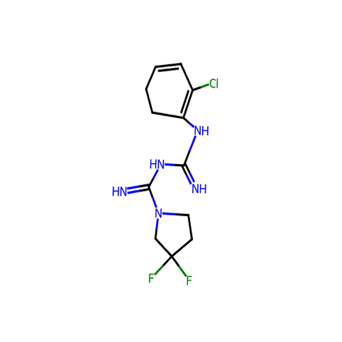 N=C(NC(=N)N1CCC(F)(F)C1)NC1=C(Cl)C=CCC1